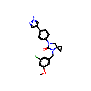 COc1cc(F)cc(CN2C(=O)N(c3ccc(-c4cn[nH]c4)cc3)CC23CC3)c1